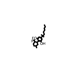 CCCCCCC(C)(C)c1cc(O)c2c(c1)OC(F)(F)C1CCC(C)CC21